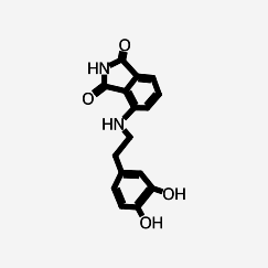 O=C1NC(=O)c2c(NCCc3ccc(O)c(O)c3)cccc21